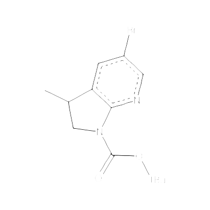 CC1CN(C(=O)OC(C)(C)C)c2ncc(Br)cc21